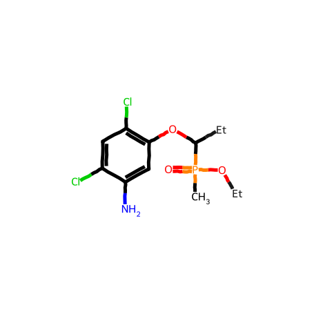 CCOP(C)(=O)C(CC)Oc1cc(N)c(Cl)cc1Cl